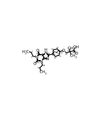 CCCn1c(=O)c2[nH]c(C34CCC(OCC(C)(C)C(=O)O)(CC3)CC4)nc2n(CCC)c1=O